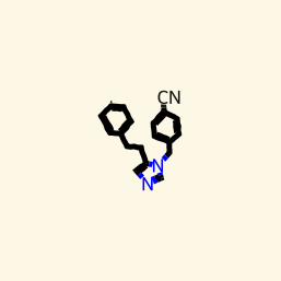 N#Cc1ccc(Cn2cncc2CCc2cc[c]cc2)cc1